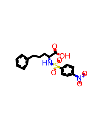 O=C(O)C(CCCc1ccccc1)NS(=O)(=O)c1ccc([N+](=O)[O-])cc1